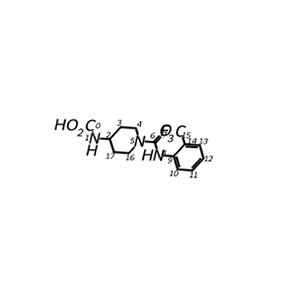 O=C(O)NC1CCN(C(=O)Nc2ccccc2C(F)(F)F)CC1